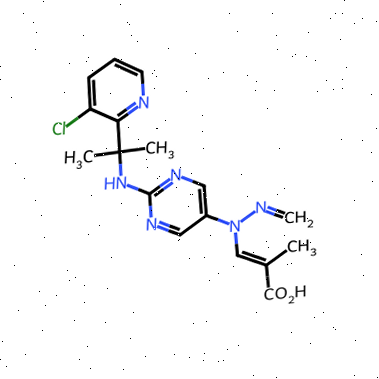 C=NN(/C=C(\C)C(=O)O)c1cnc(NC(C)(C)c2ncccc2Cl)nc1